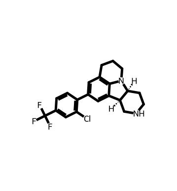 FC(F)(F)c1ccc(-c2cc3c4c(c2)[C@@H]2CNCC[C@@H]2N4CCC3)c(Cl)c1